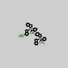 C[C](c1ccccc1)=[Hf]([CH]1C=Cc2ccccc21)[CH]1C=Cc2ccccc21.C[C](c1ccccc1)=[Hf]([CH]1C=Cc2ccccc21)[CH]1C=Cc2ccccc21.Cl.Cl